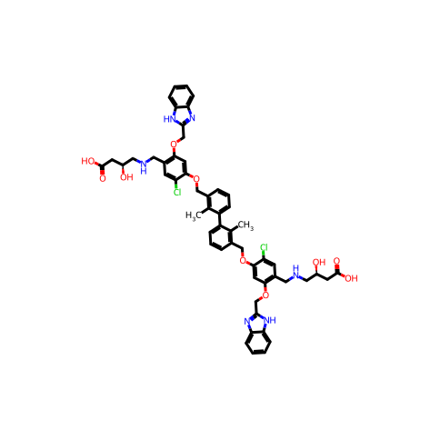 Cc1c(COc2cc(OCc3nc4ccccc4[nH]3)c(CNC[C@@H](O)CC(=O)O)cc2Cl)cccc1-c1cccc(COc2cc(OCc3nc4ccccc4[nH]3)c(CNC[C@@H](O)CC(=O)O)cc2Cl)c1C